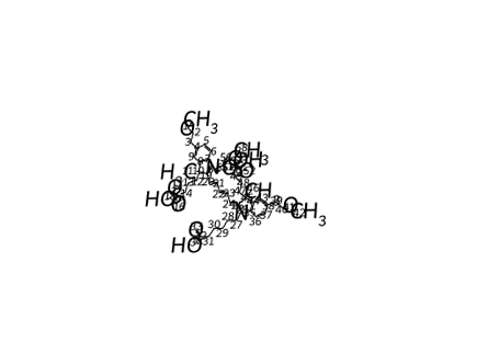 COCCc1ccc2c(c1)C(C)(CCCS(=O)(=O)O)C(/C=C/C=C/C=C1/N(CCCCCC(=O)O)c3ccc(CCOC)cc3C1(C)CCCS(=O)(=O)O)=[N+]2CCOC